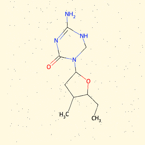 CCC1OC(N2CNC(N)=NC2=O)CC1C